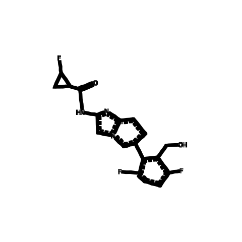 O=C(Nc1cn2cc(-c3c(F)ccc(F)c3CO)ccc2n1)C1CC1F